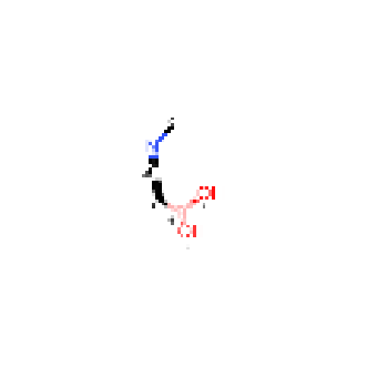 CN=C=CB(O)O